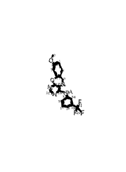 COc1ccc2c(c1)Oc1ncnc(Nc3cccc(C(F)(F)F)c3)c1N=C2